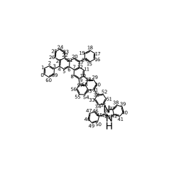 c1ccc(-c2cc3c4cc5c(cc4c(-c4ccccc4)cc3c3ccccc23)-c2ccc(-c3ccc(N4c6ccccc6NC4c4ccccc4)cc3)c3cccc-5c23)cc1